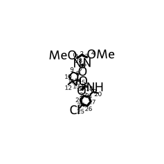 COc1cc(OC)nc(OC2CCC3(C)CC23OC(=O)NC(C)c2ccc(Cl)cc2)n1